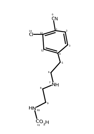 N#Cc1ccc(CCNCCNC(=O)O)cc1Cl